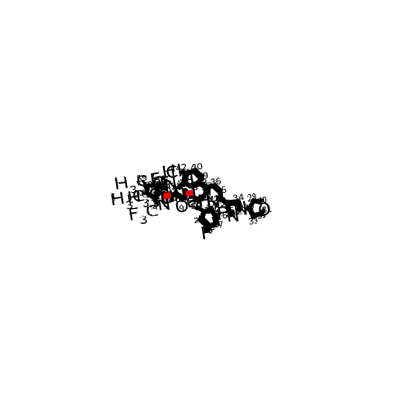 C[C@@H]1c2c(C(F)(F)F)nn(CC(=O)N[C@@H](Cc3cc(F)cc(F)c3)c3nc(-c4cnn(C5CCOCC5)c4)ccc3-c3ccc(Cl)c4c(NS(C)(=O)=O)nn(C)c34)c2C(F)(F)[C@@H]1C